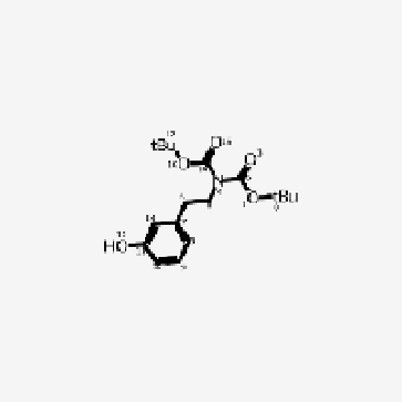 CC(C)(C)OC(=O)N(CCc1cccc(O)c1)C(=O)OC(C)(C)C